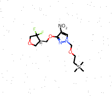 C[Si](C)(C)CCOCn1cc([N+](=O)[O-])c(OC[C@H]2COCC2(F)F)n1